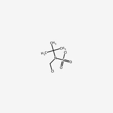 CC(C)(C)N(CCl)S(=O)(=O)Cl